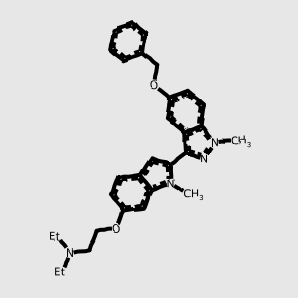 CCN(CC)CCOc1ccc2cc(-c3nn(C)c4ccc(OCc5ccccc5)cc34)n(C)c2c1